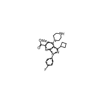 COC(=O)c1cc(N2CCNCC2)c2c(C3CCC3)nn(-c3ccc(F)cc3)c2n1